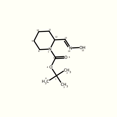 CC(C)(C)OC(=O)N1CCCCC1/C=N/O